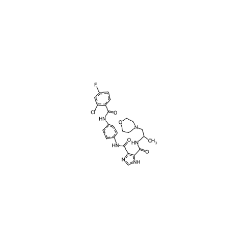 CC(CN1CCOCC1)NC(=O)c1[nH]cnc1C(=O)Nc1ccc(NC(=O)c2ccc(F)cc2Cl)cc1